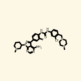 CN1CCN(Cc2ccc(NC(=O)Nc3ccc(-c4nn(C5CCCN(C)C5)c5ncnc(N)c45)cc3F)cc2C(F)(F)F)CC1